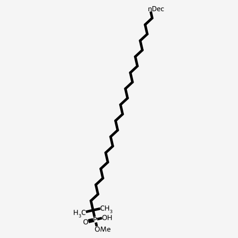 CCCCCCCCCCCCCCCCCCCCCCCCCCCCCCCCCCC(C)(C)P(=O)(O)OC